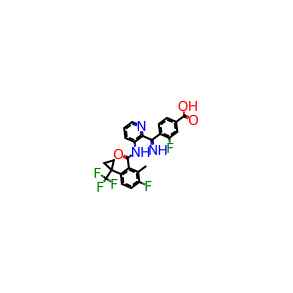 Cc1c(F)ccc(C2(C(F)(F)F)CC2)c1C(=O)Nc1cccnc1C(=N)c1ccc(C(=O)O)cc1F